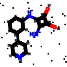 Nc1c(Nc2cccc(-c3ccncc3)c2)c(=O)c1=O